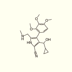 CNCc1[nH]c(C#N)c(C(O)C2CC2)c1-c1ccc(OC)c(OC)c1OC